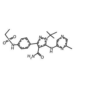 CCS(=O)(=O)Nc1ccc(-c2nn(C(C)(C)C)c(Nc3cncc(C)n3)c2C(N)=O)cc1